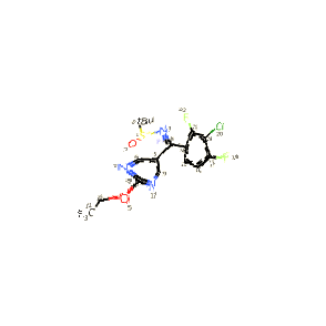 CC(C)(C)[S+]([O-])/N=C(\c1cnc(OCC(F)(F)F)nc1)c1ccc(F)c(Cl)c1F